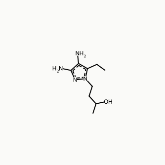 CCc1c(N)c(N)nn1CCC(C)O